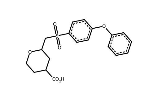 O=C(O)C1CCOC(CS(=O)(=O)c2ccc(Oc3ccccc3)cc2)C1